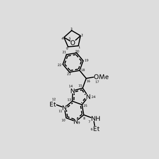 C1CC2CC1O2.CCNc1ncn(CC)c2nc(C(OC)c3ccccc3)nc1-2